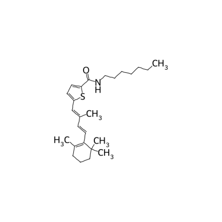 CCCCCCCNC(=O)c1ccc(/C=C(C)/C=C/C2=C(C)CCCC2(C)C)s1